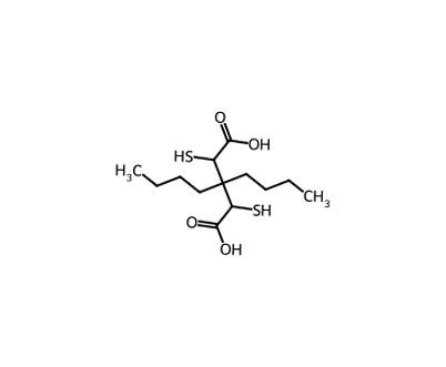 CCCCC(CCCC)(C(S)C(=O)O)C(S)C(=O)O